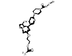 CC(C)CNC(=O)N1CCN(c2ccc(-c3cc(OCCOC(=O)C(F)(F)F)cn4ncc(C#N)c34)cn2)CC1